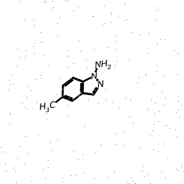 Cc1ccc2c(cnn2N)c1